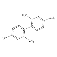 Cc1cc(C(F)(F)F)ccc1-c1ccc(C(Cl)(Cl)Cl)cc1C